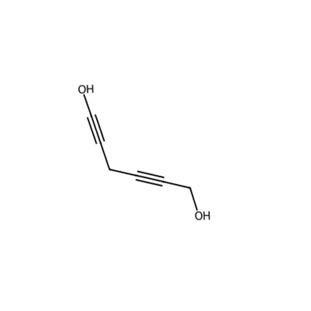 OC#CCC#CCO